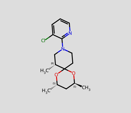 C[C@@H]1CN(c2ncccc2Cl)CCC12O[C@@H](C)C[C@H](C)O2